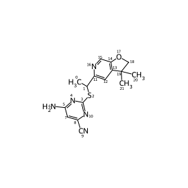 CC(Sc1nc(N)cc(C#N)n1)c1cc2c(cn1)OCC2(C)C